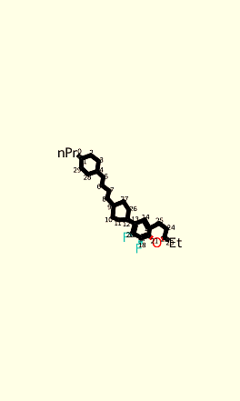 CCCC1CCC(CCCCC2CCC(c3cc4c(c(F)c3F)OC(CC)CC4)CC2)CC1